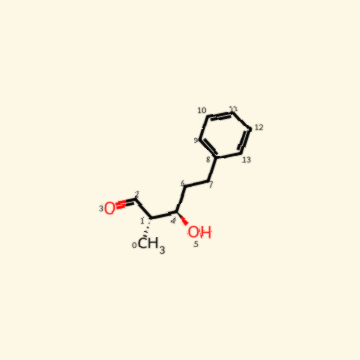 C[C@H](C=O)[C@H](O)CCc1ccccc1